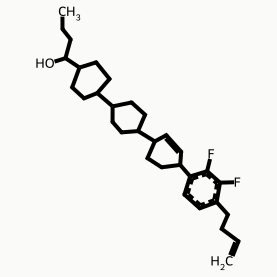 C=CCCc1ccc(C2C=CC(C3CCC(C4CCC(C(O)CCC)CC4)CC3)CC2)c(F)c1F